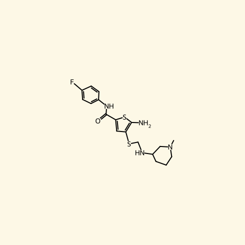 CN1CCCC(NCSc2cc(C(=O)Nc3ccc(F)cc3)sc2N)C1